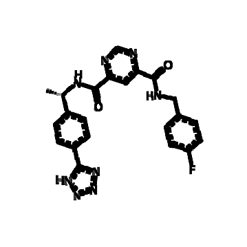 C[C@H](NC(=O)c1cc(C(=O)NCc2ccc(F)cc2)ncn1)c1ccc(-c2nnn[nH]2)cc1